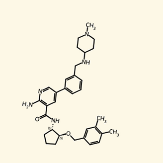 Cc1ccc(CO[C@H]2CCC[C@@H]2NC(=O)c2cc(-c3cccc(CNC4CCN(C)CC4)c3)cnc2N)cc1C